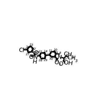 CC(C)C(C(=O)O)N1Cc2ccc(-c3ccc(NS(=O)(=O)c4cccc(Cl)c4)cc3)cc2C1=O